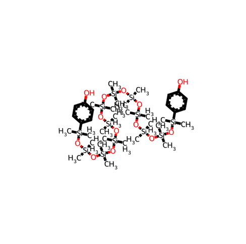 C[Si](C)(O[Si](C)(C)O[Si](C)(C)O[Si](C)(C)O[Si](C)(C)O[Si](C)(C)O[Si](C)(C)c1ccc(O)cc1)O[Si](C)(C)O[Si](C)(C)O[Si](C)(C)O[Si](C)(C)O[Si](C)(C)c1ccc(O)cc1